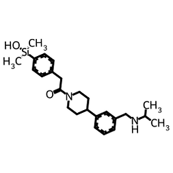 CC(C)NCc1cccc(C2CCN(C(=O)Cc3ccc([Si](C)(C)O)cc3)CC2)c1